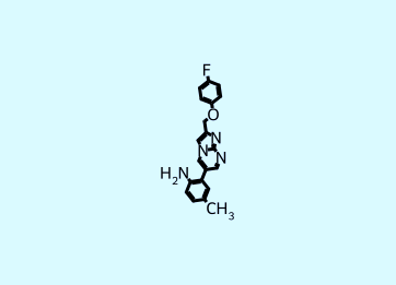 Cc1ccc(N)c(-c2cnc3nc(COc4ccc(F)cc4)cn3c2)c1